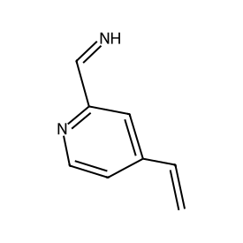 C=Cc1ccnc(C=N)c1